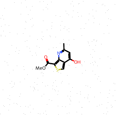 COC(=O)c1scc2c(O)cc(C)nc12